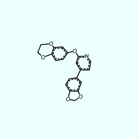 c1cc(-c2ccc3c(c2)OCO3)cc(Oc2ccc3c(c2)OCCO3)n1